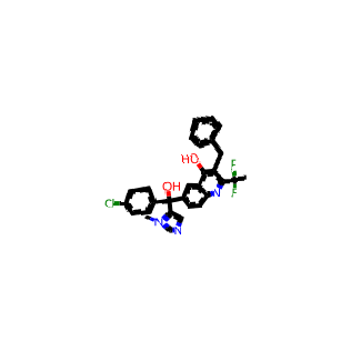 Cn1cncc1C(O)(c1ccc(Cl)cc1)c1ccc2nc(C(C)(F)F)c(Cc3ccccc3)c(O)c2c1